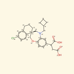 O=C(O)CC(C(=O)O)c1ccc2c(c1)N(CC1CCC1)C[C@@]1(CCCc3cc(Cl)ccc31)CO2